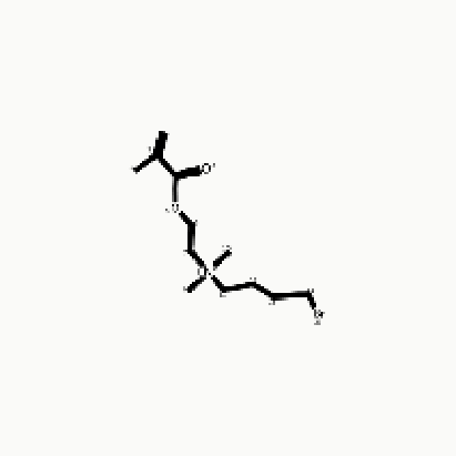 C=C(C)C(=O)OCC[N+](C)(C)CCCCBr